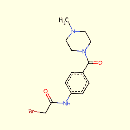 CN1CCN(C(=O)c2ccc(NC(=O)CBr)cc2)CC1